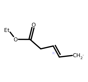 [CH2]/C=C/CC(=O)OCC